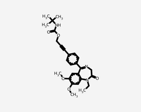 CCN1C(=O)CN=C(c2ccc(C#CCOC(=O)NC(C)(C)C)cc2)c2cc(OC)c(OC)cc21